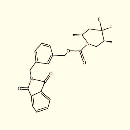 C[C@H]1CC(F)(F)[C@@H](C)CN1C(=O)OCc1cccc(CN2C(=O)c3ccccc3C2=O)c1